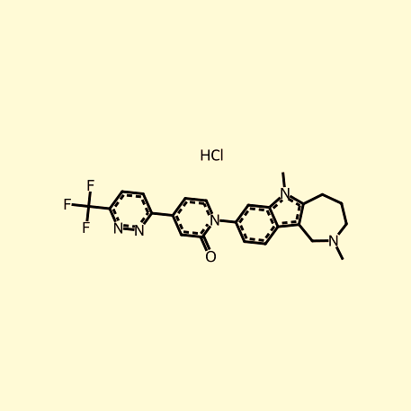 CN1CCCc2c(c3ccc(-n4ccc(-c5ccc(C(F)(F)F)nn5)cc4=O)cc3n2C)C1.Cl